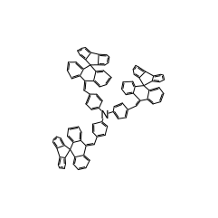 C(=C1c2ccccc2C2(c3ccccc31)c1ccccc1-c1ccccc12)c1ccc(N(c2ccc(C=C3c4ccccc4C4(c5ccccc53)c3ccccc3-c3ccccc34)cc2)c2ccc(C=C3c4ccccc4C4(c5ccccc53)c3ccccc3-c3ccccc34)cc2)cc1